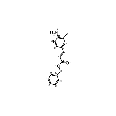 Cc1cc(/C=C/C(=O)OCc2ccccc2)cnc1N